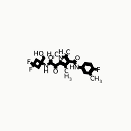 Cc1cc(NC(=O)c2c(C)c(C(=O)C(=O)NC3(CO)CC(F)(F)C3)n(C)c2C)ccc1F